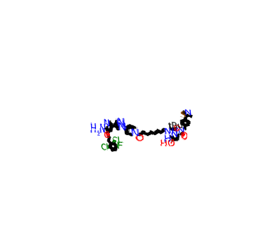 Cc1ncsc1-c1ccc(CNC(=O)[C@@H]2C[C@@H](O)CN2C(=O)[C@@H](NCCCCCCCC(=O)N2CCC(n3cc(-c4cnc(N)c(OCCc5c(Cl)ccc(F)c5Cl)c4)cn3)CC2)C(C)(C)C)cc1